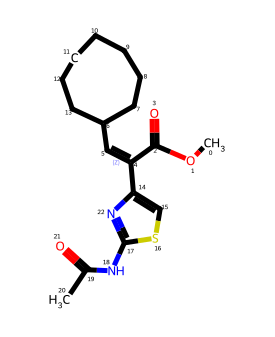 COC(=O)/C(=C\C1CCCCCCC1)c1csc(NC(C)=O)n1